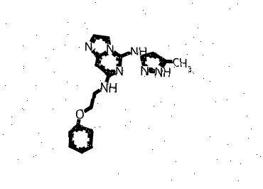 Cc1cc(Nc2nc(NCCOc3ccccc3)cc3nccn23)n[nH]1